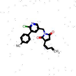 C=C/C=C\C1=CC(=O)N(Cc2cnc(Cl)c(-c3ccc(C#N)cc3)c2)C1=O